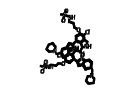 CS(=O)(=O)NCCCOc1cc(-c2cc3cc(CN4CCCCC4)ccc3[nH]2)c2c(c1Cl)CNC2C(=O)C1NCc2c(Cl)c(OCCCNS(C)(=O)=O)cc(-c3cc4cc(CN5CCCCC5)ccc4[nH]3)c21